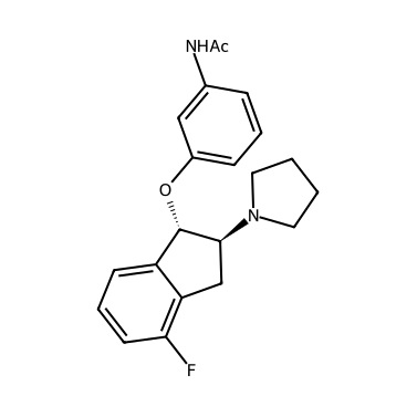 CC(=O)Nc1cccc(O[C@H]2c3cccc(F)c3C[C@@H]2N2CCCC2)c1